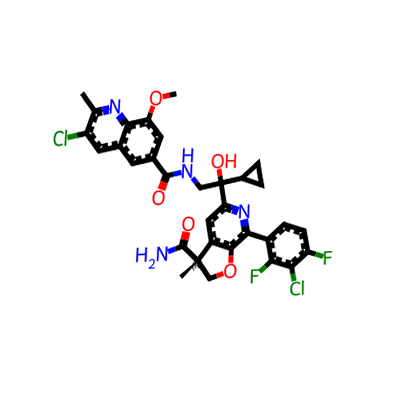 COc1cc(C(=O)NCC(O)(c2cc3c(c(-c4ccc(F)c(Cl)c4F)n2)OC[C@]3(C)C(N)=O)C2CC2)cc2cc(Cl)c(C)nc12